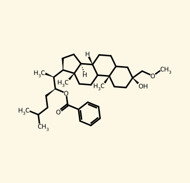 COC[C@]1(O)CC[C@@]2(C)C(CC[C@@H]3C2CC[C@]2(C)[C@@H]([C@H](C)[C@H](CCC(C)C)OC(=O)c4ccccc4)CC[C@@H]32)C1